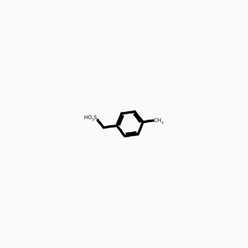 Cc1ccc(CS(=O)(=O)O)cc1